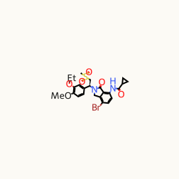 CCOc1cc([C@@H](CS(C)(=O)=O)N2Cc3c(Br)ccc(NC(=O)C4CC4)c3C2=O)ccc1OC